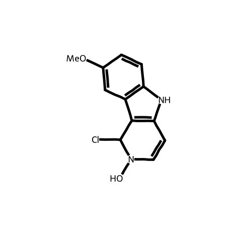 COc1ccc2[nH]c3c(c2c1)C(Cl)N(O)C=C3